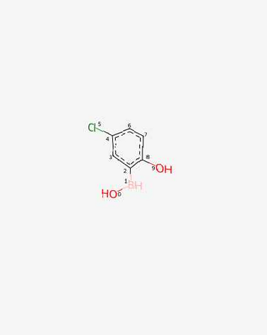 OBc1cc(Cl)ccc1O